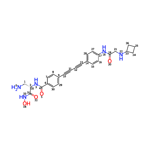 NC[C@H](NC(=O)c1ccc(C#CC#Cc2ccc(NC(=O)CNC3CCC3)cc2)cc1)C(=O)NO